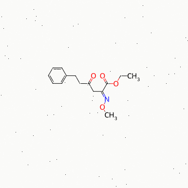 CCOC(=O)/C(CC(=O)CCc1ccccc1)=N/OC